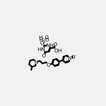 CC1CCCN(CCCOc2ccc(-c3cc[n+]([O-])cc3)cc2)C1.O.O.O=C(O)c1cc(=O)[nH]c(=O)[nH]1